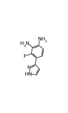 Nc1ccc(-c2cc[nH]n2)c(F)c1N